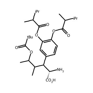 CC(C)C(C)C(=O)Oc1ccc(C(C(C)C(C)OC(=O)C(C)(C)C)[C@H](N)C(=O)O)cc1OC(=O)C(C)C(C)C